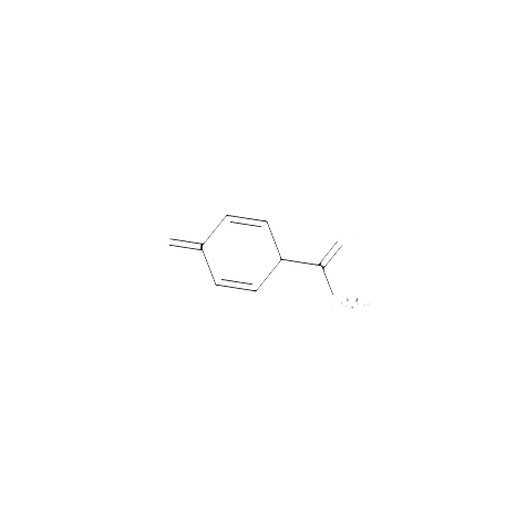 COC(=O)C1C=CC(=O)C=C1